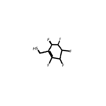 FC1=C(CS)C(F)C(F)C(F)C1F